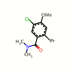 COc1cc(C(C)C)c(C(=O)N(C)C)cc1Cl